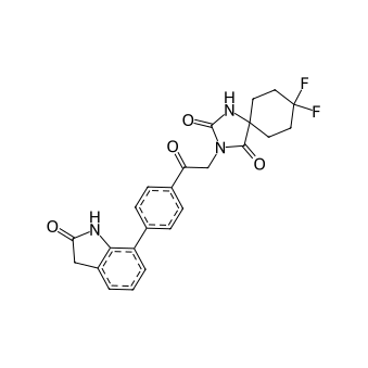 O=C1Cc2cccc(-c3ccc(C(=O)CN4C(=O)NC5(CCC(F)(F)CC5)C4=O)cc3)c2N1